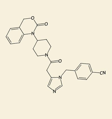 N#Cc1ccc(Cn2cncc2CC(=O)N2CCC(N3C(=O)OCc4ccccc43)CC2)cc1